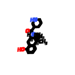 CC1(C)[C@H]2Cc3c(O)cccc3[C@]1(C)CCN2C(=O)C1CCCNC1